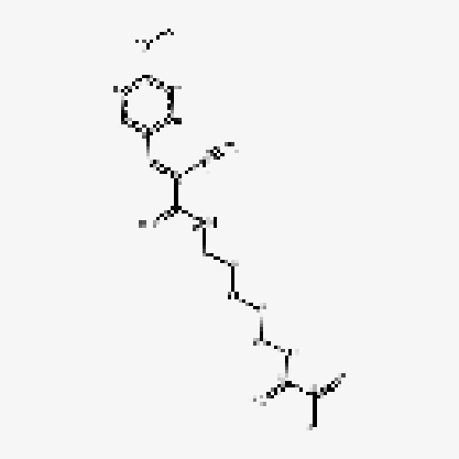 [C-]#[N+]/C(=C\c1ccc(OC)cc1)C(=O)NCCOCCOC(=O)C(=C)C